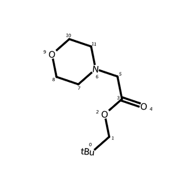 CC(C)(C)COC(=O)CN1CCOCC1